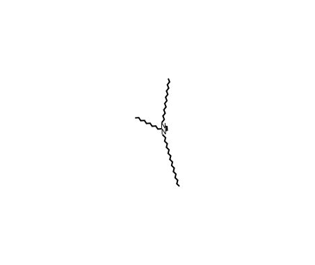 CCCCCCCCCCCCCCCCCCN1C=CN(CCCCCCCCCCCCCCC)C1CCCCCCCCC